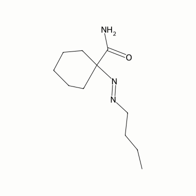 CCCC/N=N/C1(C(N)=O)CCCCC1